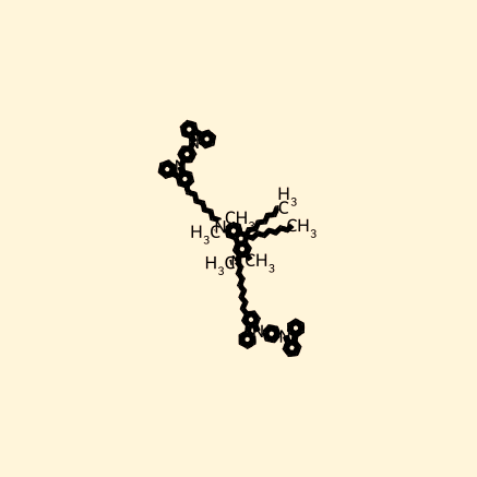 CCCCCCCCC1(CCCCCCCC)c2cc(C)c(N(C)CCCCCCCCc3ccc4c(c3)c3ccccc3n4-c3ccc(-n4c5ccccc5c5ccccc54)cc3)cc2-c2cc(N(C)CCCCCCCCc3ccc4c(c3)c3ccccc3n4-c3ccc(-n4c5ccccc5c5ccccc54)cc3)c(C)cc21